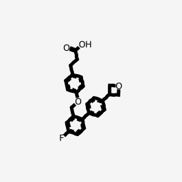 O=C(O)CCc1ccc(OCc2cc(F)ccc2-c2ccc(C3COC3)cc2)cc1